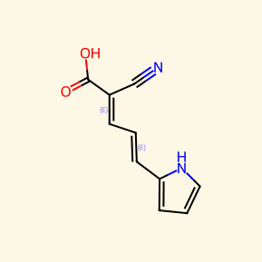 N#C/C(=C\C=C\c1ccc[nH]1)C(=O)O